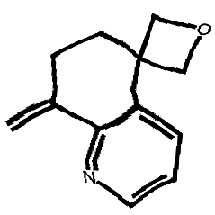 C=C1CCC2(COC2)c2cccnc21